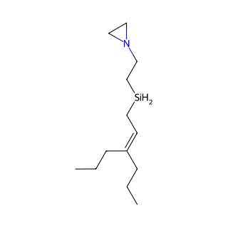 CCCC(=CC[SiH2]CCN1CC1)CCC